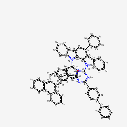 c1ccc(-c2ccc(-c3nc(-c4ccccc4)nc(-n4c5ccccc5c5c(-c6ccccc6)cc6c7ccccc7n(-c7cccc(-c8ccc9c%10ccccc%10c%10ccccc%10c9c8)c7)c6c54)n3)cc2)cc1